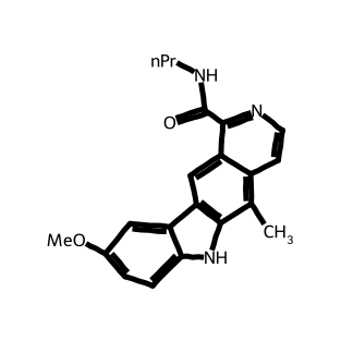 CCCNC(=O)c1nccc2c(C)c3[nH]c4ccc(OC)cc4c3cc12